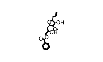 C=CC[C@@H]1O[C@H](C[C@H](O)COC(=O)c2ccccc2)[C@H](OC)[C@H]1O